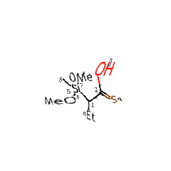 CCC(C(O)=S)[Si](C)(OC)OC